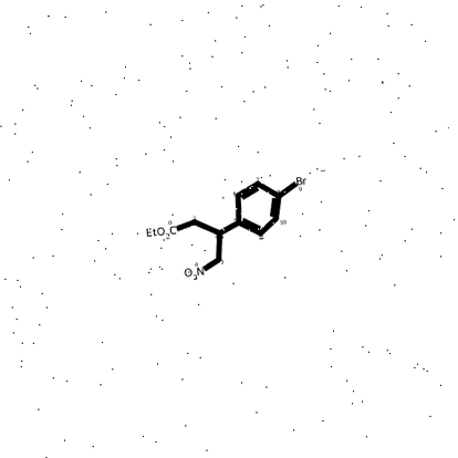 CCOC(=O)CC(C[N+](=O)[O-])c1ccc(Br)cc1